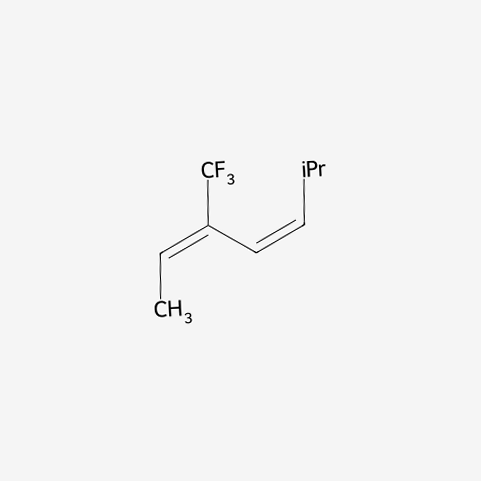 C/C=C(\C=C/C(C)C)C(F)(F)F